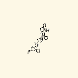 CC(Oc1ccc(F)cc1Cl)C1CCN(C(=O)N2CC3(CCC(=O)N3)C2)CC1